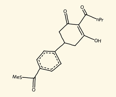 CCCC(=O)C1=C(O)CC(c2ccc(C(=O)SC)cc2)CC1=O